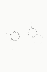 COc1ccc(Cc2nc(N)nc3c2CCCC3)cc1OC